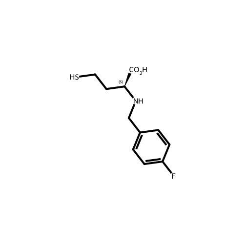 O=C(O)[C@H](CCS)NCc1ccc(F)cc1